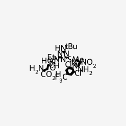 CCNc1nc(NC(C)(C)C)nc(SC)n1.CP(=O)(O)CCC(N)C(=O)O.Nc1c([N+](=O)[O-])cnn1-c1c(Cl)cc(C(F)(F)F)cc1Cl